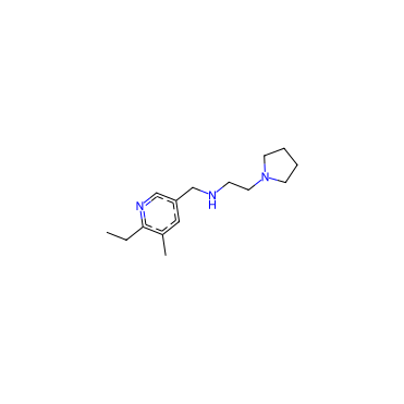 CCc1ncc(CNCCN2CCCC2)cc1C